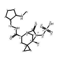 CNC1CCCC1ONC(=O)[C@@H]1CC2(CC2)[C@@H]2CN1C(=O)N2OS(=O)(=O)O